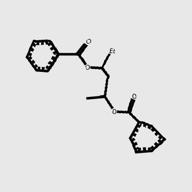 CCC(CC(C)OC(=O)c1ccccc1)OC(=O)c1ccccc1